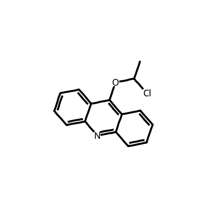 CC(Cl)Oc1c2ccccc2nc2ccccc12